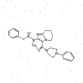 CN(C(=O)Cc1ccccc1)c1nc2n(c1C(=O)N1CCN(c3ccccc3)CC1)CCCC2